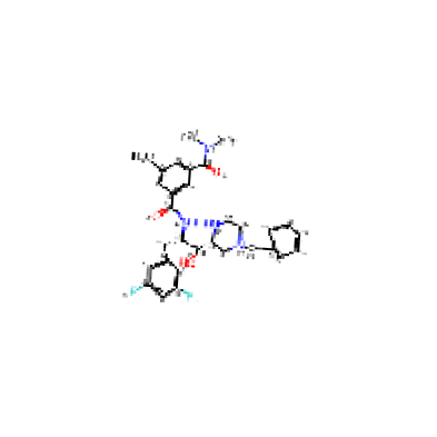 CCCN(CCC)C(=O)c1cc(C)cc(C(=O)N[C@@H](Cc2cc(F)cc(F)c2)C(O)[C@H]2CN(Cc3ccccc3)CCN2)c1